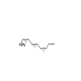 C=C\C=C/C=C/C=C\CCC